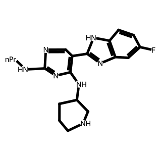 CCCNc1ncc(-c2nc3cc(F)ccc3[nH]2)c(NC2CCCNC2)n1